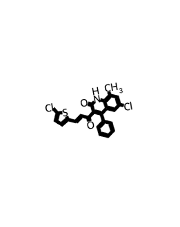 Cc1cc(Cl)cc2c(-c3ccccc3)c(C(=O)/C=C/c3ccc(Cl)s3)c(=O)[nH]c12